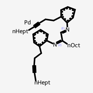 CCCCCCCC#CCCc1ccccc1/N=C(\C=N\c1ccccc1CCC#CCCCCCCC)CCCCCCCC.[Pd]